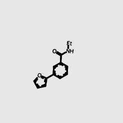 CCNC(=O)c1cccc(-c2ccco2)c1